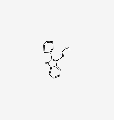 O=[N+]([O-])/C=C/c1c(-c2ccccc2)[nH]c2ccccc12